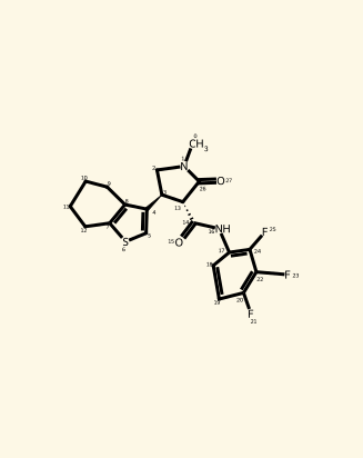 CN1C[C@H](c2csc3c2CCCC3)[C@@H](C(=O)Nc2ccc(F)c(F)c2F)C1=O